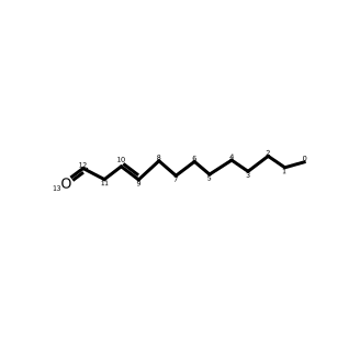 CCCCCCCCCC=CC[C]=O